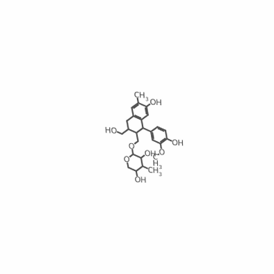 COc1cc(C2c3cc(O)c(C)cc3CC(CO)C2COC2OCC(O)C(C)C2O)ccc1O